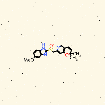 COc1ccc2[nH]c([S+]([O-])Cc3cc4c(cn3)C=CC(C)(C)O4)nc2c1